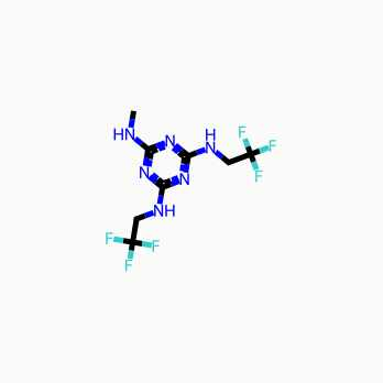 CNc1nc(NCC(F)(F)F)nc(NCC(F)(F)F)n1